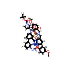 COc1ccc(CN(Cc2ccc(OC)cc2)S(=O)(=O)c2c(N([C@@H]3CCN(C(=O)OC(C)(C)C)C3)S(=O)(=O)O)ccc(-c3cccc(N)c3N)c2-c2nnn(Cc3ccc(OC)cc3)n2)cc1